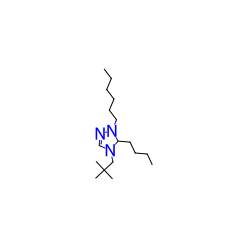 CCCCCCN1N=CN(CC(C)(C)C)C1CCCC